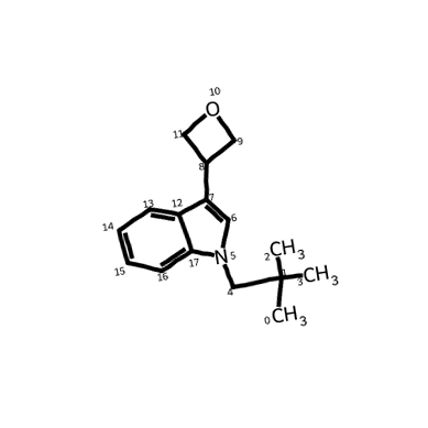 CC(C)(C)Cn1cc(C2COC2)c2ccccc21